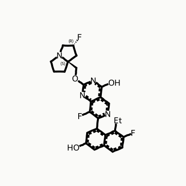 CCc1c(F)ccc2cc(O)cc(-c3ncc4c(O)nc(OC[C@@]56CCCN5C[C@H](F)C6)nc4c3F)c12